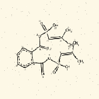 CC(C)=CP(=O)(O)OC(=O)c1ccccc1C(=O)OP(=O)(O)C=C(C)C